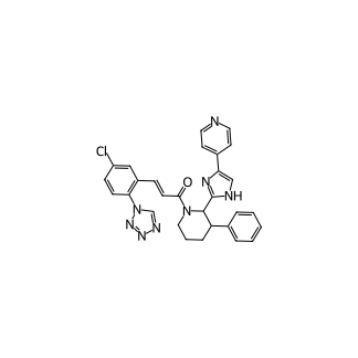 O=C(C=Cc1cc(Cl)ccc1-n1cnnn1)N1CCCC(c2ccccc2)C1c1nc(-c2ccncc2)c[nH]1